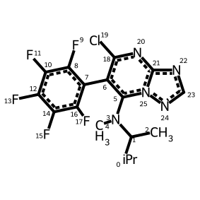 CC(C)C(C)N(C)c1c(-c2c(F)c(F)c(F)c(F)c2F)c(Cl)nc2ncnn12